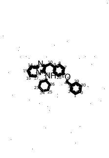 c1ccc(COc2ccc(Cc3nc4ccccn4c3NC3CCCCC3)cc2)cc1